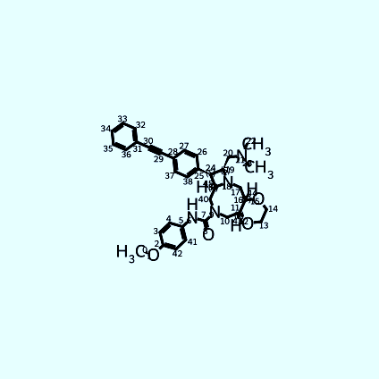 COc1ccc(NC(=O)N2C[C@H]3OCCO[C@H]3CN3[C@H](CN(C)C)[C@H](c4ccc(C#Cc5ccccc5)cc4)[C@@H]3C2)cc1